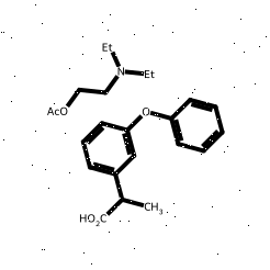 CC(C(=O)O)c1cccc(Oc2ccccc2)c1.CCN(CC)CCOC(C)=O